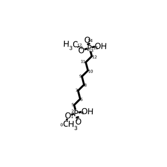 COP(=O)(O)CCCCCCCCP(=O)(O)OC